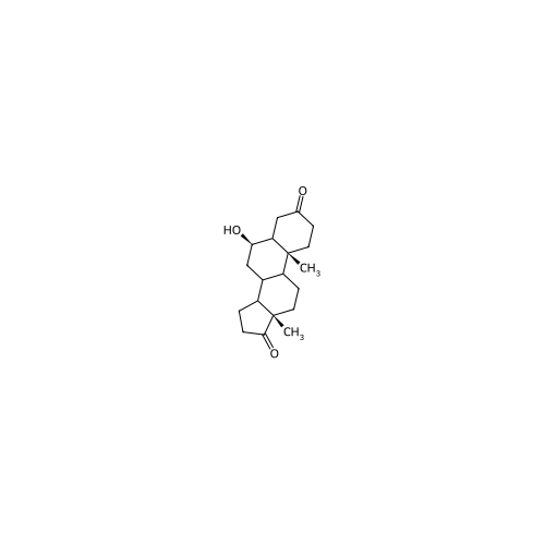 C[C@]12CCC(=O)CC1[C@H](O)CC1C2CC[C@]2(C)C(=O)CCC12